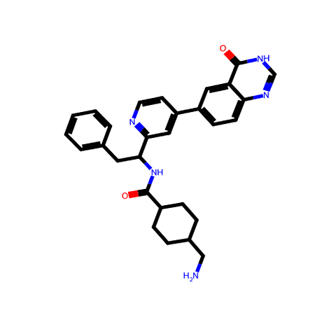 NCC1CCC(C(=O)NC(Cc2ccccc2)c2cc(-c3ccc4nc[nH]c(=O)c4c3)ccn2)CC1